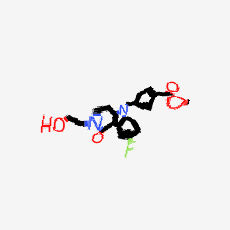 COC(=O)c1ccc(Cn2c3c(c4cc(F)ccc42)C(=O)N(CCO)CC3)cc1